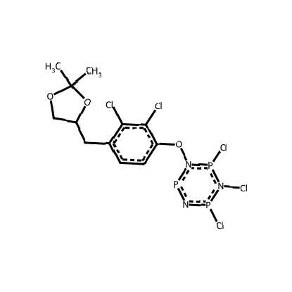 CC1(C)OCC(Cc2ccc(On3pnp(Cl)n(Cl)p3Cl)c(Cl)c2Cl)O1